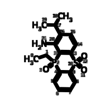 CCP1(=O)c2ccccc2S(=O)(=O)c2ccc(C(C)C)c(N)c21